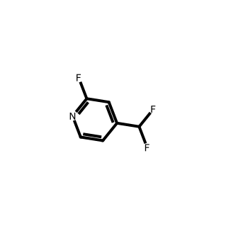 Fc1cc(C(F)F)ccn1